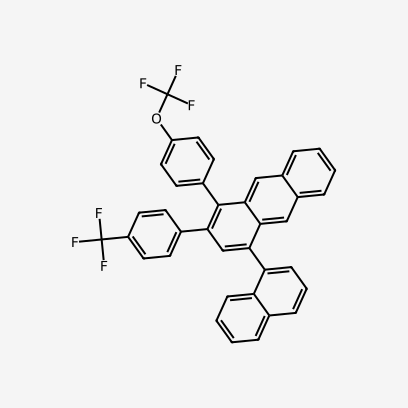 FC(F)(F)Oc1ccc(-c2c(-c3ccc(C(F)(F)F)cc3)cc(-c3cccc4ccccc34)c3cc4ccccc4cc23)cc1